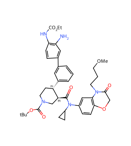 CCOC(=O)Nc1ccc(-c2cccc([C@H]3CCN(C(=O)OC(C)(C)C)C[C@@H]3C(=O)N(c3ccc4c(c3)N(CCCOC)C(=O)CO4)C3CC3)c2)cc1N